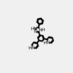 C1=CNC(C2=CC(C3=NNC(c4ccccc4)N3)=CC(C3=CCNC=C3)C2)C=C1